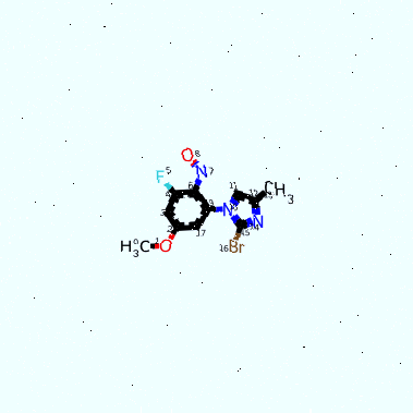 COc1cc(F)c(N=O)c(-n2cc(C)nc2Br)c1